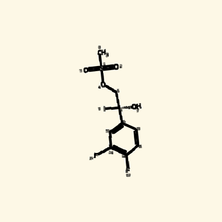 CS(=O)(=O)OC[C@](O)(I)c1ccc(F)c(F)c1